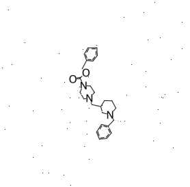 C[C@H](c1ccccc1)N1CCCC(CN2CCN(C(=O)OCc3ccccc3)CC2)C1